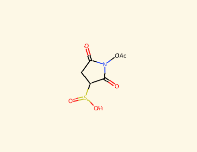 CC(=O)ON1C(=O)CC(S(=O)O)C1=O